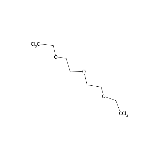 ClC(Cl)(Cl)COCCOCCOCC(Cl)(Cl)Cl